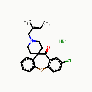 Br.CC=C(C)CN1CCC2(CC1)C(=O)c1cc(Cl)ccc1Sc1ccccc12